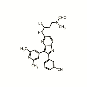 CCC(CCN(C)C=O)Nc1ccn2nc(-c3cccc(C#N)c3)c(-c3cc(C)nc(C)c3)c2n1